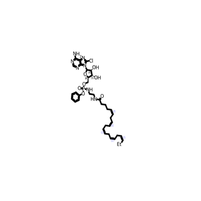 CC/C=C\C/C=C\C/C=C\C/C=C\C/C=C\CCCC(=O)NCCNP(=O)(OC[C@H]1OC(n2c(Cl)nc3c(N)ncnc32)[C@H](O)[C@@H]1O)Oc1ccccc1